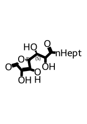 CCCCCCCC(=O)C(O)[C@H](O)[C@H]1OC(=O)C(O)=C1O